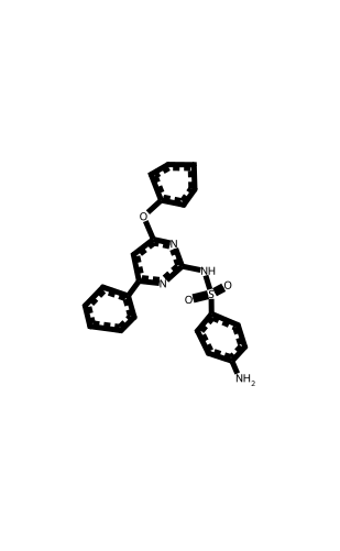 Nc1ccc(S(=O)(=O)Nc2nc(Oc3ccccc3)cc(-c3ccccc3)n2)cc1